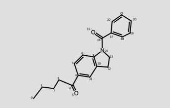 CCCCC(=O)c1ccc2c(c1)CCN2C(=O)c1ccccc1